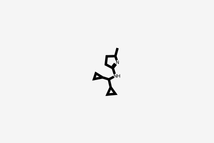 CC1CCC(NC(C2CC2)C2CC2)=N1